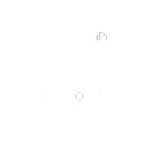 CC(C)C12CCC(C1)O2